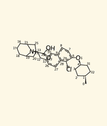 C[C@H]1CC[C@@H](Oc2ccc3cc(CCN4C5CCCC4CC(C(=O)O)C5)ccc3c2Cl)CC1